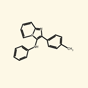 Cc1ccc(-c2nc3ccccn3c2Nc2ccccc2)cc1